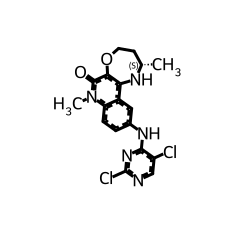 C[C@H]1CCOc2c(c3cc(Nc4nc(Cl)ncc4Cl)ccc3n(C)c2=O)N1